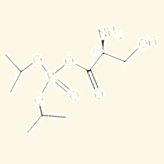 CC(C)OP(=O)(OC(=O)[C@@H](N)CO)OC(C)C